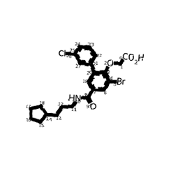 O=C(O)COc1c(Br)cc(C(=O)NCCCC2CCCC2)cc1-c1cccc(Cl)c1